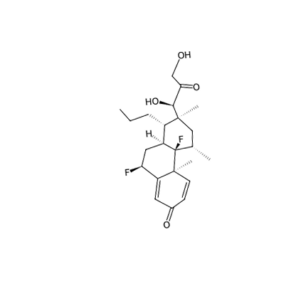 CCC[C@H]1[C@@H]2C[C@H](F)C3=CC(=O)C=C[C@]3(C)[C@@]2(F)[C@@H](C)C[C@]1(C)[C@@H](O)C(=O)CO